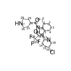 Cc1cccc(N(C(=O)C(F)(F)F)c2ccc(Cl)cn2)c1NC(=O)C1CCNCC1